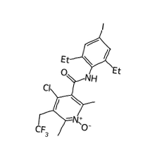 CCc1cc(I)cc(CC)c1NC(=O)c1c(Cl)c(CC(F)(F)F)c(C)[n+]([O-])c1C